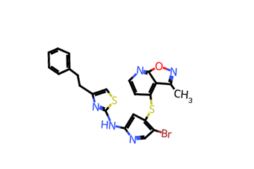 Cc1noc2nccc(Sc3cc(Nc4nc(CCc5ccccc5)cs4)ncc3Br)c12